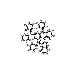 c1ccc(N(c2ccccc2)c2cc3c4c(c2)N(c2ccccc2)c2c(sc5ccccc25)B4c2ccccc2N3c2ccccc2)cc1